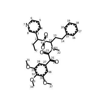 CCC(c1cccnc1)S(=O)(=O)C(CCc1ccccc1)N(C)C(=O)C(=O)c1cc(OC)c(OC)c(OC)c1